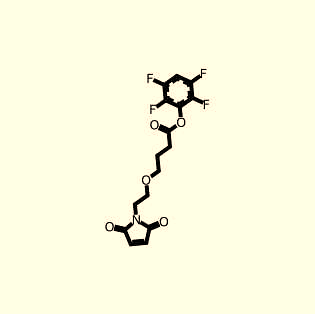 O=C(CCCOCCN1C(=O)C=CC1=O)Oc1c(F)c(F)cc(F)c1F